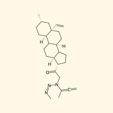 C=C=C(C)N(CC(=O)[C@H]1CCC2[C@@H]3CC[C@]4(C=C)C[C@@H](C)CC[C@@H]4C3CC[C@@H]21)/N=N\C